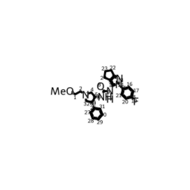 COCCN1C[C@H](NC(=O)Nc2c3c(nn2-c2ccc(F)cc2)CCC3)[C@@H](c2ccccc2)C1